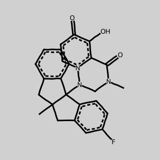 CN1CN(C23c4ccccc4CC2(C)Cc2cc(F)ccc23)n2ccc(=O)c(O)c2C1=O